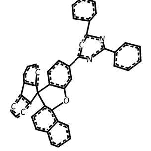 c1ccc(-c2cc(-c3ccc4c(c3)Oc3c(ccc5ccccc35)C43c4ccccc4-c4ccccc43)nc(-c3ccccc3)n2)cc1